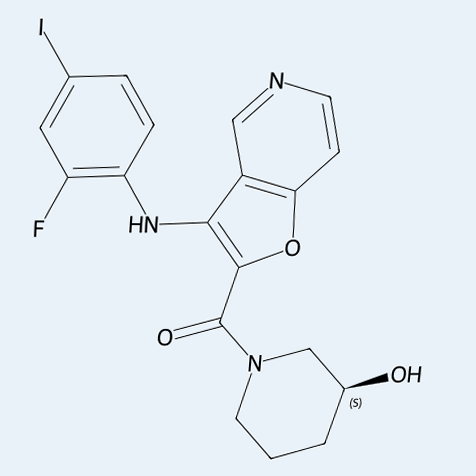 O=C(c1oc2ccncc2c1Nc1ccc(I)cc1F)N1CCC[C@H](O)C1